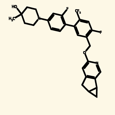 CC1(O)CCN(c2ccc(-c3cc(COc4cc5c(cn4)C4CC4C5)c(F)cc3C(F)(F)F)c(F)c2)CC1